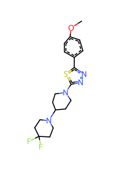 COc1ccc(-c2nnc(N3CCC(N4CCC(F)(F)CC4)CC3)s2)cc1